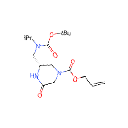 C=CCOC(=O)N1CC(=O)N[C@H](CN(C(=O)OC(C)(C)C)C(C)C)C1